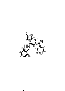 Cc1cn2c(NCc3c(C)cccc3C)cc(C(=O)N3CCOCC3)cc2n1